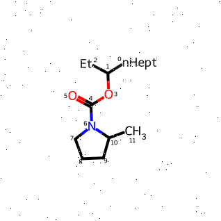 CCCCCCCC(CC)OC(=O)N1CCCC1C